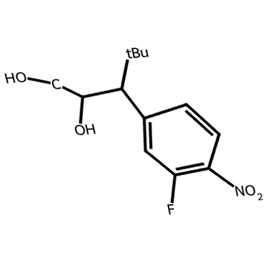 CC(C)(C)C(c1ccc([N+](=O)[O-])c(F)c1)C(O)CO